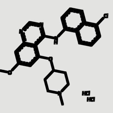 COc1cc(OC2CCN(C)CC2)c2c(Nc3cccc4c(Cl)cccc34)ncnc2c1.Cl.Cl